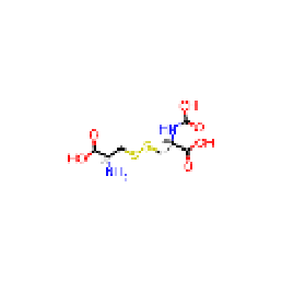 N[C@@H](CSSC[C@H](NC(=O)O)C(=O)O)C(=O)O